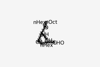 CCCCCCCCC(CCCCCC)COC(=O)CCCCCC(CCCCCC(=O)OCC(CCCCCC)CCCCCCCCCC=O)NCCCCO